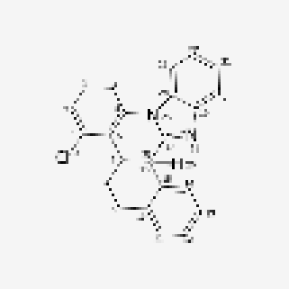 ClC1=CCCC2=C1C1CCc3ccccc3[C@@H]1c1nc3ccccc3n12